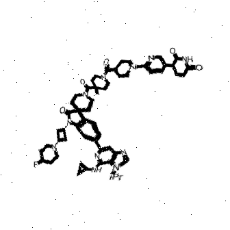 CC(C)n1cnc2cc(-c3ccc4c(c3)N([C@H]3C[C@@H](N5CCC(F)CC5)C3)C(=O)C43CCN(C(=O)C4(C)CCN(C(=O)C5CCN(c6ccc(C7CCC(=O)NC7=O)cn6)CC5)CC4)CC3)nc(NC3CC3)c21